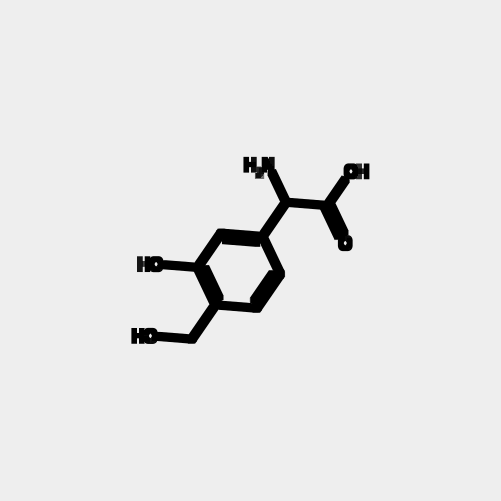 NC(C(=O)O)c1ccc(CO)c(O)c1